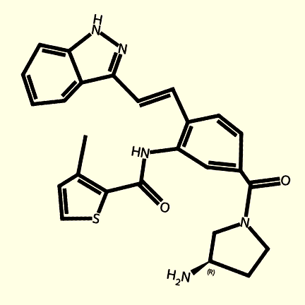 Cc1ccsc1C(=O)Nc1cc(C(=O)N2CC[C@@H](N)C2)ccc1C=Cc1n[nH]c2ccccc12